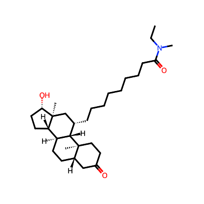 CCN(C)C(=O)CCCCCCCC[C@H]1C[C@]2(C)[C@@H](O)CC[C@H]2[C@@H]2CC[C@H]3CC(=O)CC[C@]3(C)[C@@H]12